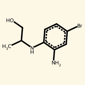 CC(CO)Nc1ccc(Br)cc1N